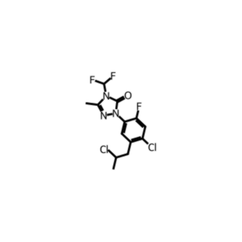 Cc1nn(-c2cc(CC(C)Cl)c(Cl)cc2F)c(=O)n1C(F)F